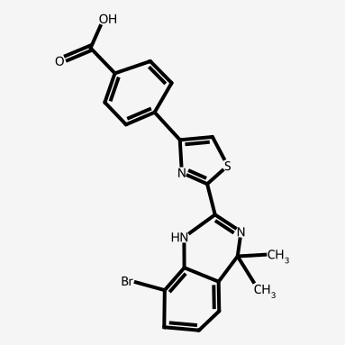 CC1(C)N=C(c2nc(-c3ccc(C(=O)O)cc3)cs2)Nc2c(Br)cccc21